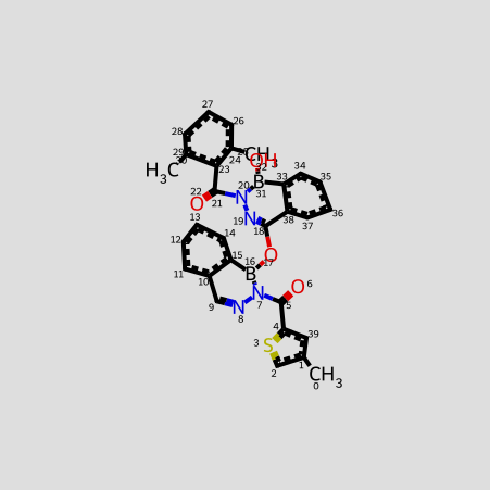 Cc1csc(C(=O)N2N=Cc3ccccc3B2OC2=NN(C(=O)c3c(C)cccc3C)B(O)c3ccccc32)c1